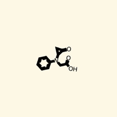 O=C(O)CN(c1ccccc1)C1CC1=O